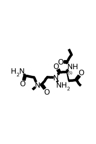 CCC(=O)N[C@@H](CC(C)=O)C(=O)N(N)CC(=O)N(C)CC(N)=O